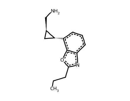 CCCc1nc2cccc([C@@H]3C[C@H]3CN)c2o1